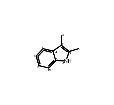 Cc1[nH]c2c(c1C)=C=C=CC=2